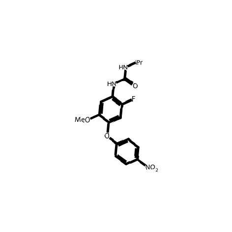 COc1cc(NC(=O)NC(C)C)c(F)cc1Oc1ccc([N+](=O)[O-])cc1